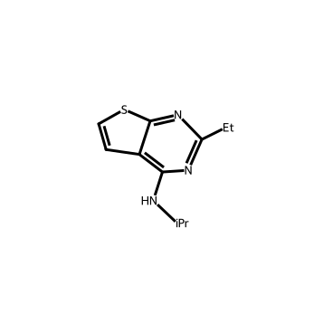 CCc1nc(NC(C)C)c2ccsc2n1